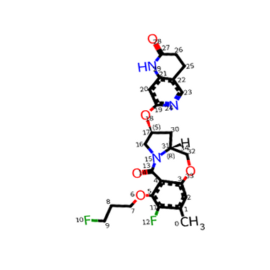 Cc1cc2c(c(OCCCF)c1F)C(=O)N1C[C@@H](Oc3cc4c(cn3)CCC(=O)N4)C[C@@H]1CO2